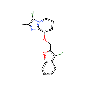 Cc1nc2c(OCc3oc4ccccc4c3Cl)cccn2c1Cl